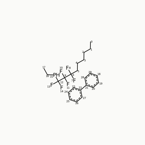 CCCCCCC(F)(F)C(F)(F)C(F)(F)PCC.c1ccc(-c2ccccc2)cc1